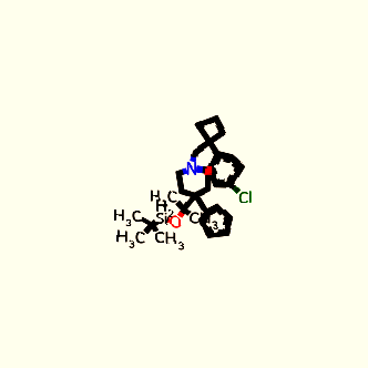 CC(C)(C)[SiH2]OC(C)(C)C1(c2ccccc2)CCN(CC2(c3ccc(Cl)cc3)CCC2)CC1